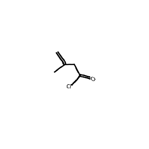 C=C(C)CC(=O)Cl